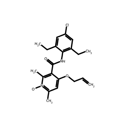 C=CCOc1cc(C)[n+]([O-])c(C)c1C(=O)Nc1c(CC)cc(Cl)cc1CC